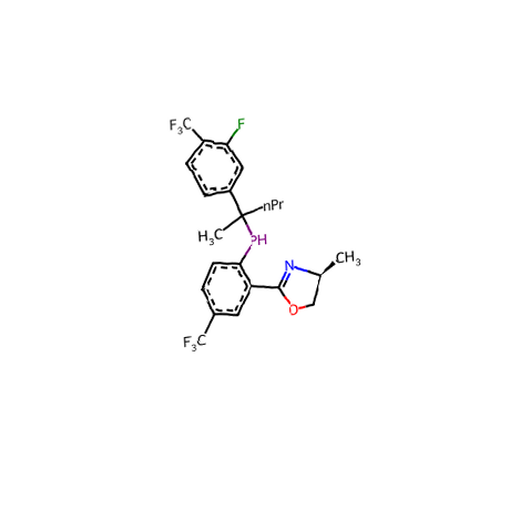 CCCC(C)(Pc1ccc(C(F)(F)F)cc1C1=N[C@@H](C)CO1)c1ccc(C(F)(F)F)c(F)c1